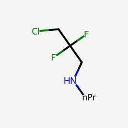 CCCNCC(F)(F)CCl